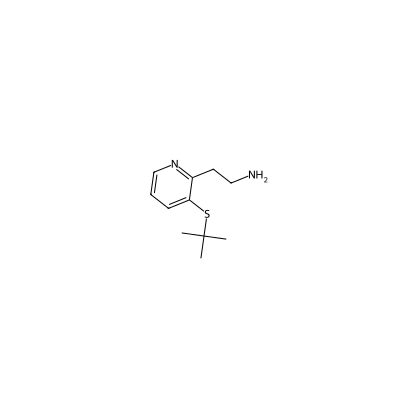 CC(C)(C)Sc1cccnc1CCN